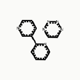 c1ccc(-c2cccnc2)nc1.c1cnnnn1